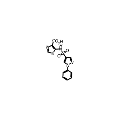 O=C(O)c1ncsc1NS(=O)(=O)c1cnn(-c2ccccc2)c1